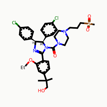 CCOc1cc(C(C)(C)CO)ccc1C1=N[C@@H](c2ccc(Cl)cc2)[C@@H](c2ccc(Cl)cc2)N1C(=O)N1CCN(CCCS(C)(=O)=O)CC1